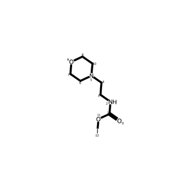 O=C(NCCN1CCOCC1)OI